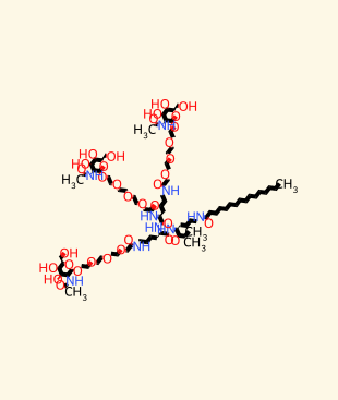 CCCCCCCCCCCCCCCC(=O)NCCCC[C@@H](NC(=O)[C@H](CCCCNC(=O)COCCOCCOCCO[C@@H]1O[C@H](CO)[C@H](O)[C@H](O)[C@H]1NC(C)=O)NC(=O)[C@H](CCCCNC(=O)COCCOCCOCCO[C@@H]1O[C@H](CO)[C@H](O)[C@H](O)[C@H]1NC(C)=O)NC(=O)COCCOCCOCCO[C@@H]1O[C@H](CO)[C@H](O)[C@H](O)[C@H]1NC(C)=O)C(=O)C(C)C